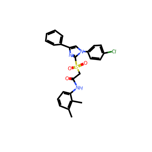 Cc1cccc(NC(=O)CS(=O)(=O)c2nc(-c3ccccc3)cn2-c2ccc(Cl)cc2)c1C